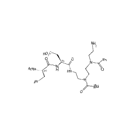 CCC(C)C(=O)N(CCNC(=O)[C@H](CC(=O)O)NC(=O)[C@H](CC(C)C)NC(C)=O)CCN(CCN)C(=O)C(C)C